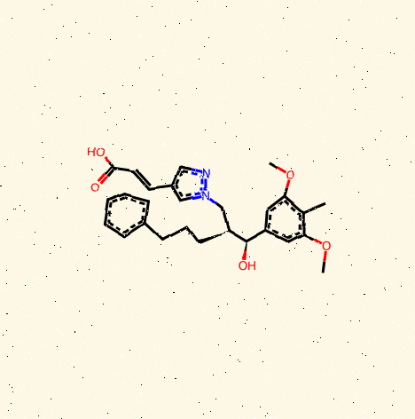 COc1cc([C@@H](O)[C@@H](CCCc2ccccc2)Cn2cc(C=CC(=O)O)cn2)cc(OC)c1C